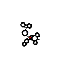 Cc1c2cc3c(c1-c1ccccc1C(C)c1ccccc1-2)c1cc2ccccc2cc1n3C1/C=C\C(n2c3ccccc3c3ccncc32)=C/CCC1